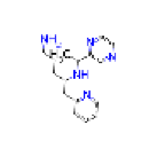 CC(NC(CCCN)Cc1ccccn1)c1cnccn1